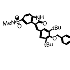 CNS(=O)(=O)c1ccc2c(c1)C(=Cc1cc(C(C)(C)C)c(OCc3ccccc3)c(C(C)(C)C)c1)C(=O)N2